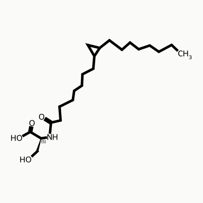 CCCCCCCCC1CC1CCCCCCCC(=O)N[C@@H](CO)C(=O)O